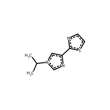 CC(C)n1cnc(-c2nccs2)c1